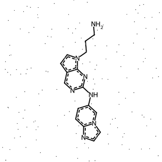 NCCCn1ccc2cnc(Nc3ccc4nccn4c3)nc21